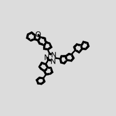 c1ccc(-c2cccc3c(-c4nc(-c5ccc6ccc(-c7ccc8ccccc8c7)cc6c5)nc(-c5ccc6cc7oc8ccccc8c7cc6c5)n4)cccc23)cc1